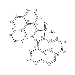 CCP(=O)(c1cc2cccc3ccc4cccc1c4c32)c1cc2cccc3ccc4cccc1c4c32